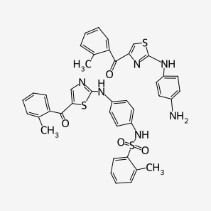 Cc1ccccc1C(=O)c1cnc(Nc2ccc(NS(=O)(=O)c3ccccc3C)cc2)s1.Cc1ccccc1C(=O)c1csc(Nc2ccc(N)cc2)n1